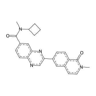 CN(C(=O)c1ccc2ncc(-c3ccc4c(=O)n(C)ccc4c3)nc2c1)C1CCC1